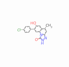 Cc1cc2n[nH]c(=O)n2c2cc(-c3ccc(Cl)cc3)c(O)cc12